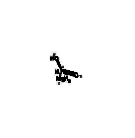 O=[PH2]O.[MgH2]